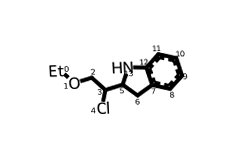 CCOCC(Cl)C1Cc2ccccc2N1